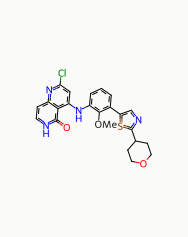 COc1c(Nc2cc(Cl)nc3cc[nH]c(=O)c23)cccc1-c1cnc(C2CCOCC2)s1